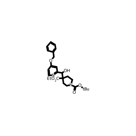 CCOC(=O)C1(C(O)c2cc(OCc3ccccc3)ccn2)CCN(C(=O)OC(C)(C)C)CC1